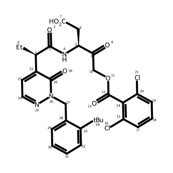 CC[C@@H](C(=O)N[C@@H](CC(=O)O)C(=O)COC(=O)c1c(Cl)cccc1Cl)c1ccnn(Cc2ccccc2C(C)(C)C)c1=O